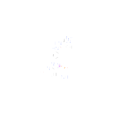 Cc1n[nH]cc1NC(=O)Nc1ccc(-c2nc(N3CCOC[C@@H]3C)cc(C3(S(=O)(=O)C4CC4)CCNCC3)n2)cc1